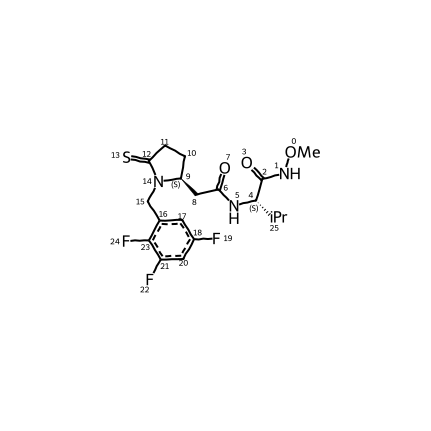 CONC(=O)[C@@H](NC(=O)C[C@@H]1CCC(=S)N1Cc1cc(F)cc(F)c1F)C(C)C